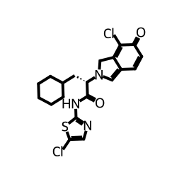 O=C1C=CC2=CN([C@@H](CC3CCCCC3)C(=O)Nc3ncc(Cl)s3)CC2=C1Cl